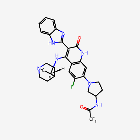 O=C(NC1CCN(c2cc3[nH]c(=O)c(-c4nc5ccccc5[nH]4)c(N[C@H]4CN5CCC4CC5)c3cc2F)C1)C(F)(F)F